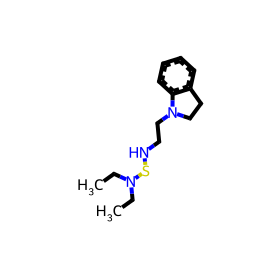 CCN(CC)SNCCN1CCc2ccccc21